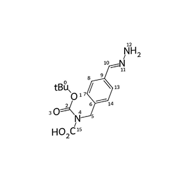 CC(C)(C)OC(=O)N(Cc1ccc(C=NN)cc1)C(=O)O